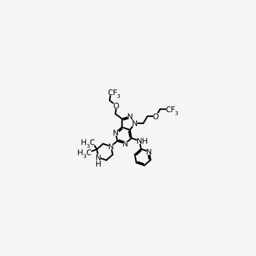 CC1(C)CN(c2nc(Nc3ccccn3)c3c(n2)c(COCC(F)(F)F)nn3CCOCC(F)(F)F)CCN1